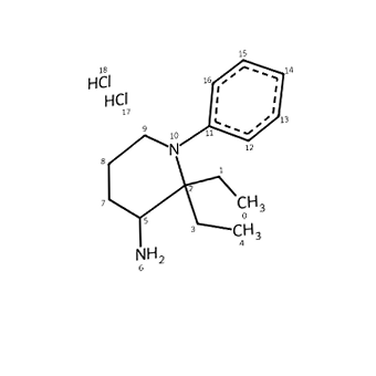 CCC1(CC)C(N)CCCN1c1ccccc1.Cl.Cl